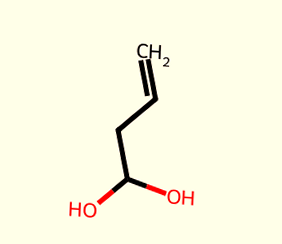 C=CCC(O)O